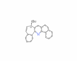 CC(C)(C)[C@@H]1C=Cc2ccccc2-c2nc3c(ccc4ccccc43)cc21